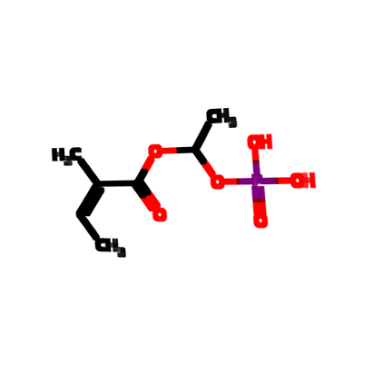 CC=C(C)C(=O)OC(C)OP(=O)(O)O